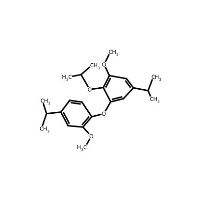 COc1cc(C(C)C)ccc1Oc1cc(C(C)C)cc(OC)c1OC(C)C